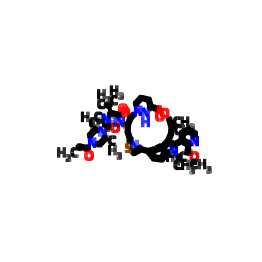 C=CC(=O)N1C[C@@H](C)N(C(=O)N(C)[C@H](C(=O)N[C@H]2Cc3nc(cs3)-c3ccc4c(c3)c(c(-c3cccnc3[C@H](C)OC)n4CC)CC(C)(C)COC[C@@]3(C=O)CCCN(N3)C2=O)C(C)C)[C@H](C)C1